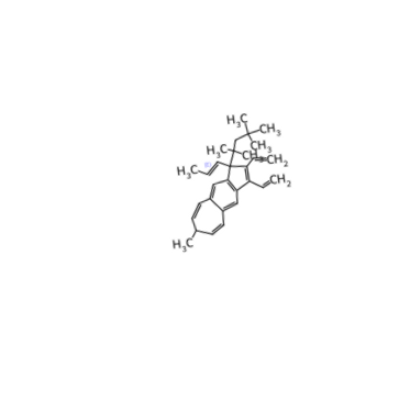 C=CC1=C(C=C)C(/C=C/C)(C(C)(C)CC(C)(C)C)c2cc3c(cc21)C=CC(C)C=C3